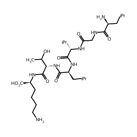 CC(C)C[C@H](NC(=O)[C@@H](NC(=O)CNC(=O)[C@@H](N)CC(C)C)C(C)C)C(=O)N[C@H](C(=O)N[C@@H](CCCCN)C(=O)O)C(C)O